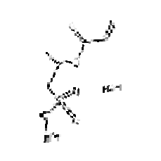 C=CC(=O)OC(C)CS(=O)(=O)OCCC.[NaH]